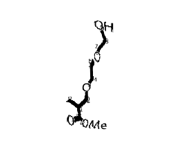 C=C(COCCOCCO)C(=O)OC